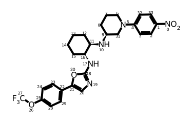 O=[N+]([O-])c1ccc(N2CCC[C@H](N[C@@H]3CCCC[C@H]3Nc3ncc(-c4ccc(OC(F)(F)F)cc4)o3)C2)cc1